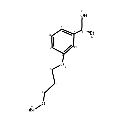 CCCCOCCCOc1cccc([C@H](O)CC)c1